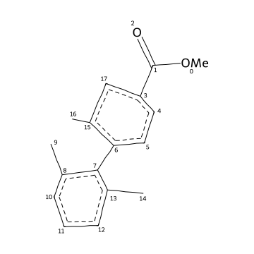 COC(=O)c1ccc(-c2c(C)cccc2C)c(C)c1